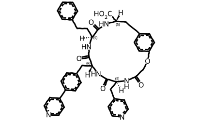 O=C1COc2ccc(cc2)C[C@@H](C(=O)O)NC(=O)[C@H](CCc2ccccc2)NC(=O)[C@@H](Cc2ccc(-c3ccncc3)cc2)NC(=O)[C@H](Cc2ccncc2)N1